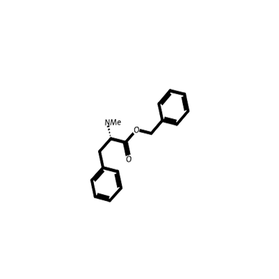 CN[C@@H](Cc1ccccc1)C(=O)OCc1ccccc1